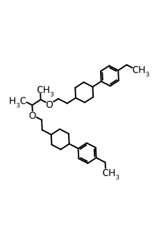 CCc1ccc(C2CCC(CCOC(C)C(C)OCCC3CCC(c4ccc(CC)cc4)CC3)CC2)cc1